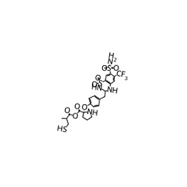 CC(CS)C(=O)OC(=O)[C@]1(Oc2ccc(CC3Nc4cc(C(F)(F)F)c(S(N)(=O)=O)cc4S(=O)(=O)N3)cc2)CCCN1